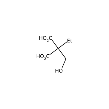 CCC(CO)(C(=O)O)C(=O)O